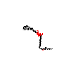 CCCCC/C=C\C/C=C\CCCCCCCCCC(=O)OOOC(=O)CCCCCCCCC/C=C\C/C=C\CCCCC